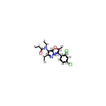 CCC(=O)N(CC)c1c(CC)nn2c(-c3ccc(Cl)cc3Cl)c(C)oc12